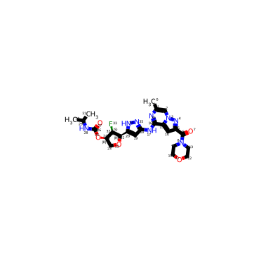 Cc1cn2nc(C(=O)N3CCOCC3)cc2c(Nc2cc([C@H]3OC[C@@H](OC(=O)NC(C)C)[C@H]3F)[nH]n2)n1